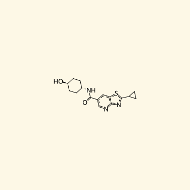 O=C(N[C@H]1CC[C@H](O)CC1)c1cnc2nc(C3CC3)sc2c1